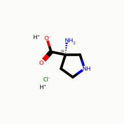 N[C@@]1(C(=O)[O-])CCNC1.[Cl-].[H+].[H+]